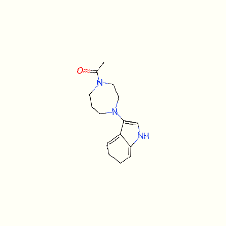 CC(=O)N1CCCN(c2c[nH]c3c2=CCCC=3)CC1